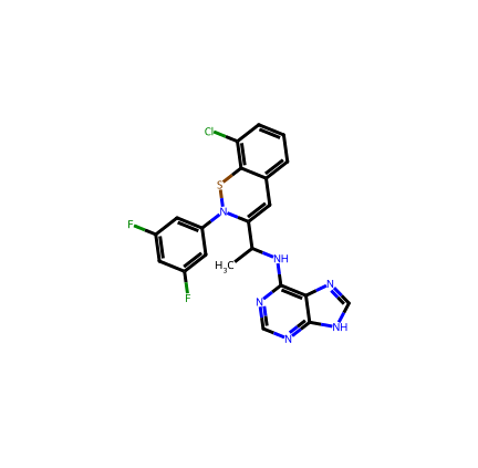 CC(Nc1ncnc2[nH]cnc12)C1=Cc2cccc(Cl)c2SN1c1cc(F)cc(F)c1